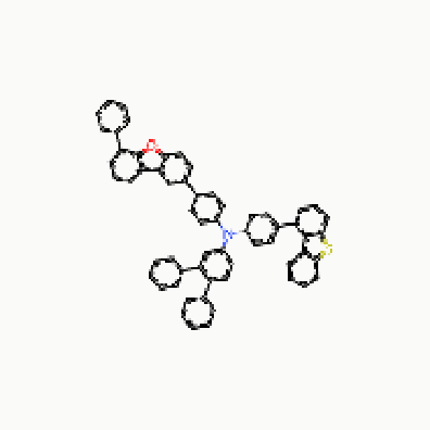 c1ccc(-c2ccc(N(c3ccc(-c4ccc5oc6c(-c7ccccc7)cccc6c5c4)cc3)c3ccc(-c4cccc5sc6ccccc6c45)cc3)cc2-c2ccccc2)cc1